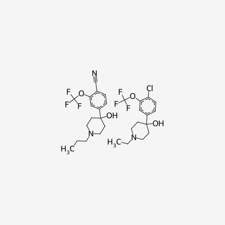 CCCN1CCC(O)(c2ccc(C#N)c(OC(F)(F)F)c2)CC1.CCN1CCC(O)(c2ccc(Cl)c(OC(F)(F)F)c2)CC1